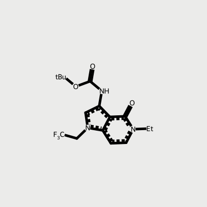 CCn1ccc2c(c(NC(=O)OC(C)(C)C)cn2CC(F)(F)F)c1=O